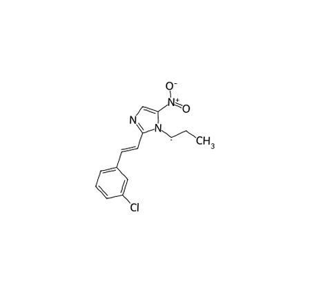 CC[CH]n1c([N+](=O)[O-])cnc1C=Cc1cccc(Cl)c1